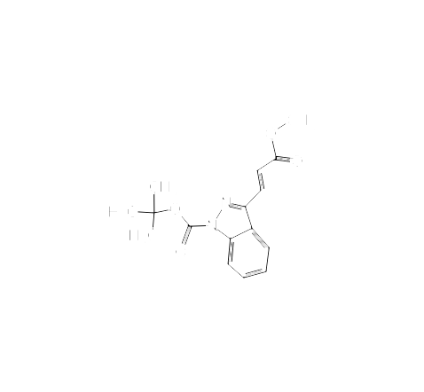 COC(=O)/C=C/c1nn(C(=O)OC(C)(C)C)c2ccccc12